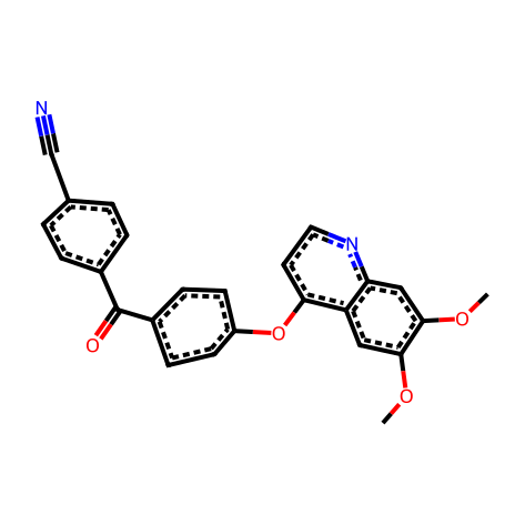 COc1cc2nccc(Oc3ccc(C(=O)c4ccc(C#N)cc4)cc3)c2cc1OC